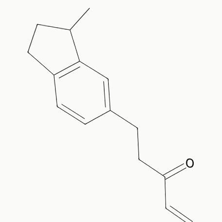 C=CC(=O)CCc1ccc2c(c1)C(C)CC2